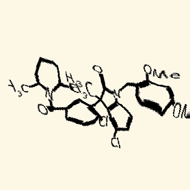 COc1ccc(CN2C(=O)C(C)(c3cc(C(=O)N4C(C)CCCC4C)ccc3Cl)c3cc(Cl)ccc32)c(OC)c1